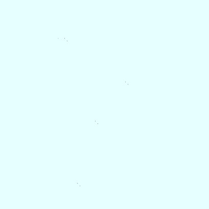 CC(=O)NCc1cc(F)c(Cn2cc(C(=O)NCc3cc4c(Cl)c[nH]c4cc3F)ccc2=O)cc1F